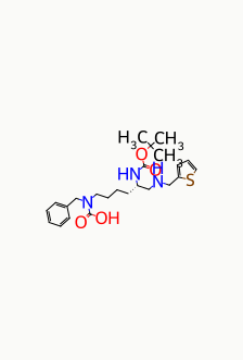 CC(C)(C)OC(=O)N[C@@H](CCCCN(Cc1ccccc1)C(=O)O)CNCc1cccs1